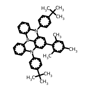 Cc1cc(C)c(-c2cc3c4c(c2)N(c2ccc(C(C)(C)C)cc2)c2ccccc2B4c2ccccc2N3c2ccc(C(C)(C)C)cc2)c(C)c1